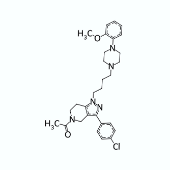 COc1ccccc1N1CCN(CCCCn2nc(-c3ccc(Cl)cc3)c3c2CCN(C(C)=O)C3)CC1